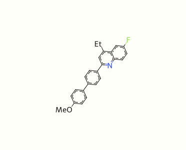 CCc1cc(-c2ccc(-c3ccc(OC)cc3)cc2)nc2ccc(F)cc12